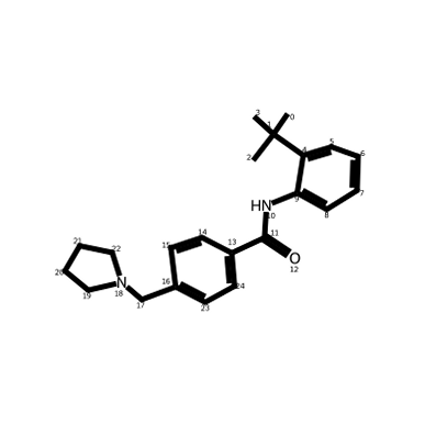 CC(C)(C)c1ccccc1NC(=O)c1ccc(CN2CCCC2)cc1